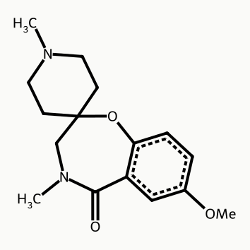 COc1ccc2c(c1)C(=O)N(C)CC1(CCN(C)CC1)O2